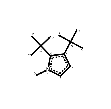 Cn1ccc(C(C)(C)C)c1C(C)(C)C